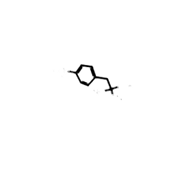 CCCCCC(C#N)(C#N)Cc1ccc([N+](=O)[O-])cc1